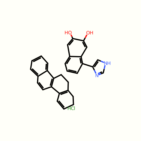 C1=CC2=C(CC1)CCc1c2ccc2ccccc12.Cl.Oc1cc2cccc(-c3c[nH]cn3)c2cc1O